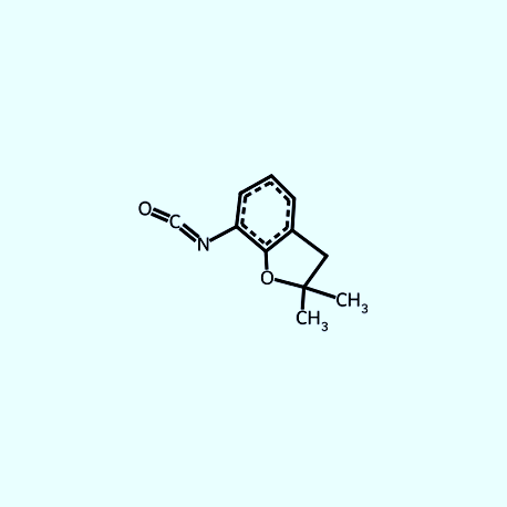 CC1(C)Cc2cccc(N=C=O)c2O1